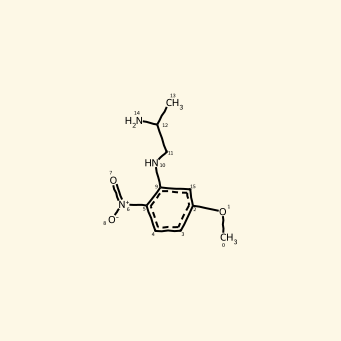 COc1ccc([N+](=O)[O-])c(NCC(C)N)c1